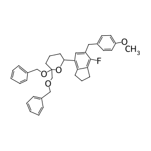 COc1ccc(Cc2cc(C3CCCC(COCc4ccccc4)(OCc4ccccc4)O3)c3c(c2F)CCC3)cc1